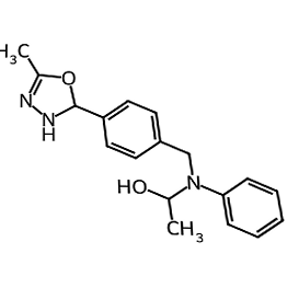 CC1=NNC(c2ccc(CN(c3ccccc3)C(C)O)cc2)O1